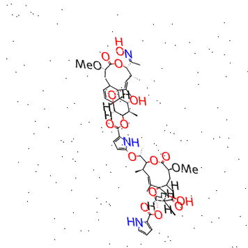 CO[C@H]1C[C@H]2CC(=O)[C@H]3[C@H]4O[C@]2(/C(C)=C/[C@@H](C)[C@@H]([C@@H](C)Oc2ccc(C(=O)O[C@@H]5[C@H](C)[C@@H](O)[C@@H]6[C@H]7C=CC8C[C@H](OC)C(=O)O[C@H](/C(C)=N\O)[C@H](C)/C=C(\C)[C@]86O[C@H]75)[nH]2)OC1=O)[C@@H]3[C@H](O)[C@@H](C)[C@H]4OC(=O)c1ccc[nH]1